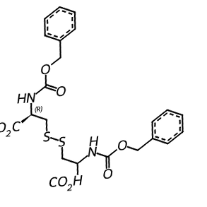 O=C(NC(CSSC[C@H](NC(=O)OCc1ccccc1)C(=O)O)C(=O)O)OCc1ccccc1